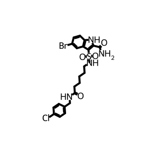 NC(=O)c1[nH]c2ccc(Br)cc2c1S(=O)(=O)NCCCCCC(=O)NCc1ccc(Cl)cc1